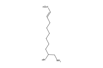 CCCCCCCCC=CCCCCCCC(CN)CCC